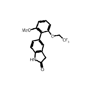 COc1cccc(OCC(F)(F)F)c1-c1ccc2c(c1)CC(=O)N2